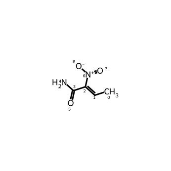 C/C=C(/C(N)=O)[N+](=O)[O-]